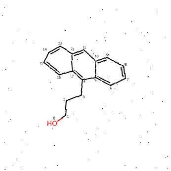 OCCCc1c2ccccc2cc2ccccc12